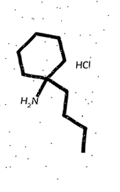 CCCCC1(N)CCCCC1.Cl